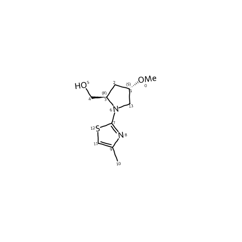 CO[C@H]1C[C@H](CO)N(c2nc(C)cs2)C1